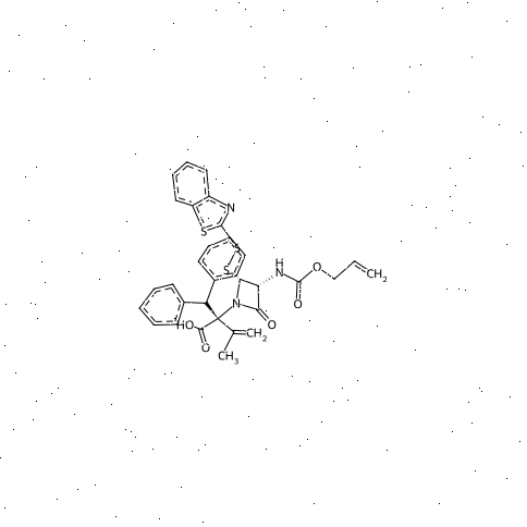 C=CCOC(=O)N[C@@H]1C(=O)N([C@](C(=C)C)(C(=O)O)C(c2ccccc2)c2ccccc2)[C@@H]1SSc1nc2ccccc2s1